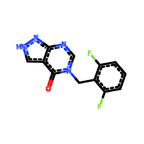 O=c1c2c[nH]nc2ncn1Cc1c(F)cccc1F